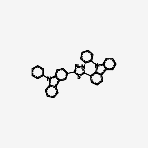 c1ccc(-n2c3ccccc3c3cc(-c4nnc(-c5cccc6c7ccccc7n(-c7ccccc7)c56)s4)ccc32)cc1